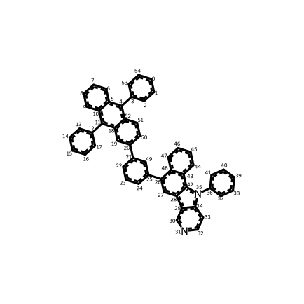 c1ccc(-c2c3ccccc3c(-c3ccccc3)c3cc(-c4cccc(-c5cc6c7cnccc7n(-c7ccccc7)c6c6ccccc56)c4)ccc23)cc1